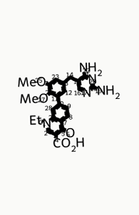 CCn1cc(C(=O)O)c(=O)c2ccc(-c3cc(Cc4cnc(N)nc4N)cc(OC)c3OC)cc21